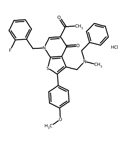 COc1ccc(-c2sc3c(c2CN(C)Cc2ccccc2)c(=O)c(C(C)=O)cn3Cc2ccccc2F)cc1.Cl